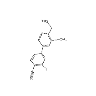 Cc1cc(-c2ccc(C#N)c(F)c2)ccc1CO